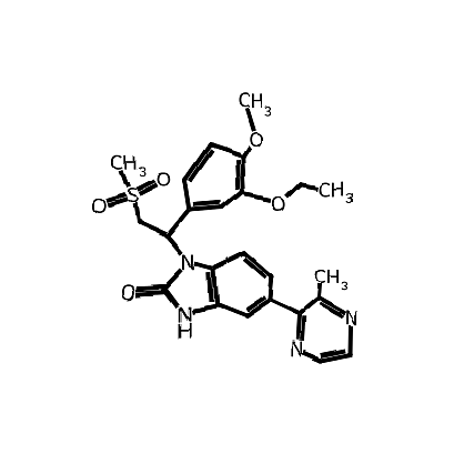 CCOc1cc(C(CS(C)(=O)=O)n2c(=O)[nH]c3cc(-c4nccnc4C)ccc32)ccc1OC